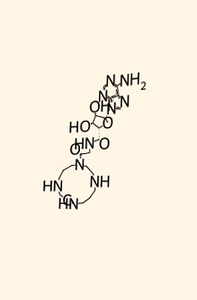 Nc1ncnc2c1ncn2[C@@H]1O[C@H](C(=O)NCC(=O)N2CCCNCCNCCCNCC2)[C@@H](O)[C@H]1O